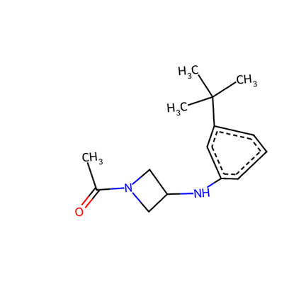 CC(=O)N1CC(Nc2cccc(C(C)(C)C)c2)C1